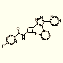 O=C(NC1CC(c2nnc(-c3ccncn3)n2-c2ccccc2Cl)C1)c1ccc(F)cn1